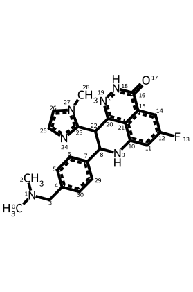 CN(C)Cc1ccc(C2Nc3cc(F)cc4c(=O)[nH]nc(c34)C2c2nccn2C)cc1